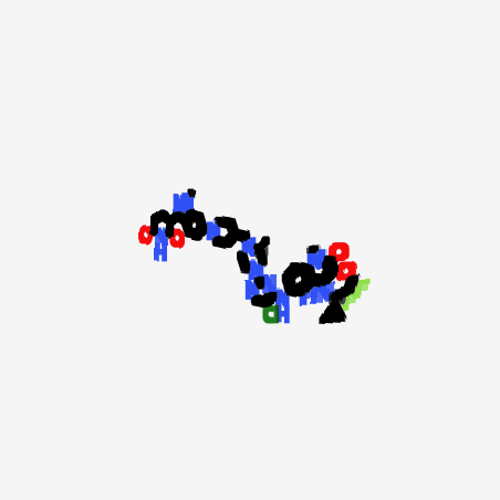 C[C@H]1CN(c2ncc(Cl)c(Nc3ccc4c(c3)c3c(c(=O)n4C)OCC(F)(F)[C@H](C4CC4)N3)n2)CCN1CC1CCN(c2ccc3c(C4CCC(=O)NC4=O)nn(C)c3c2)CC1